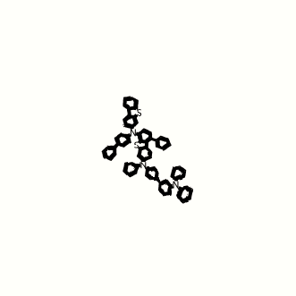 c1ccc(-c2ccc(N(c3ccc4c(c3)sc3ccccc34)c3ccc(-c4ccccc4)c4c3sc3cc(N(c5ccccc5)c5ccc(-c6cccc(N(c7ccccc7)c7ccccc7)c6)cc5)ccc34)cc2)cc1